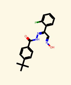 CC(C)(C)c1ccc(C(=O)NN=C(C=NO)c2ccccc2F)cc1